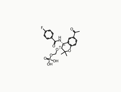 CC(=O)c1ccc2c(c1)[C@@H](NC(=O)c1ccc(F)cc1)[C@@H](OCOP(=O)(O)O)C(C)(C)O2